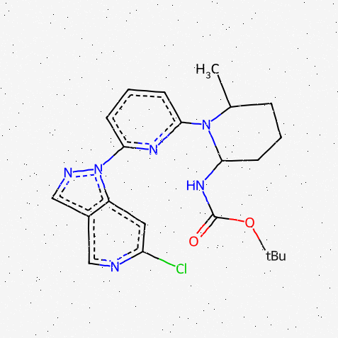 CC1CCCC(NC(=O)OC(C)(C)C)N1c1cccc(-n2ncc3cnc(Cl)cc32)n1